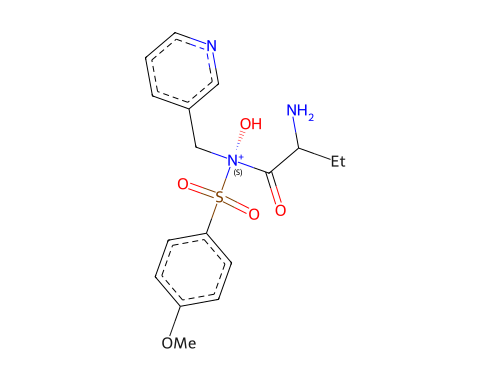 CCC(N)C(=O)[N@+](O)(Cc1cccnc1)S(=O)(=O)c1ccc(OC)cc1